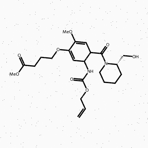 C=CCOC(=O)NC1C=C(OCCCC(=O)OC)C(OC)=CC1C(=O)N1CCCC[C@H]1CO